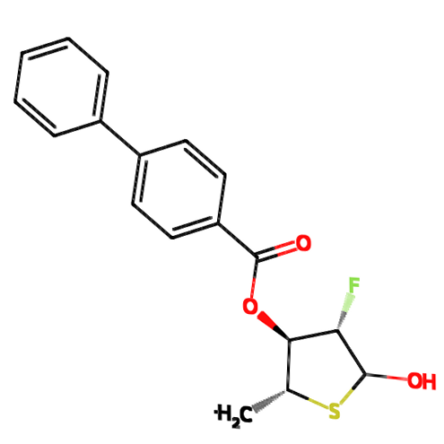 [CH2][C@H]1SC(O)[C@@H](F)[C@@H]1OC(=O)c1ccc(-c2ccccc2)cc1